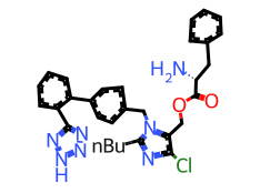 CCCCc1nc(Cl)c(COC(=O)[C@H](N)Cc2ccccc2)n1Cc1ccc(-c2ccccc2-c2nn[nH]n2)cc1